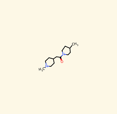 CC1CCN(C(=O)CC2CCN(C)CC2)CC1